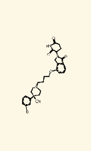 N#CC1(c2cccc(Cl)c2)CCN(CCCCOc2cccc3c2CN(C2CCC(=O)NC2=O)C3=O)CC1